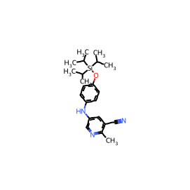 Cc1ncc(Nc2ccc(O[Si](C(C)C)(C(C)C)C(C)C)cc2)cc1C#N